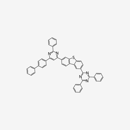 c1ccc(-c2ccc(-c3cc(-c4ccc5c(c4)sc4ccc(-c6nc(-c7ccccc7)nc(-c7ccccc7)n6)cc45)nc(-c4ccccc4)n3)cc2)cc1